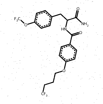 NC(=O)C(Cc1ccc(OC(F)(F)F)cc1)NC(=O)c1ccc(OCCCC(F)(F)F)cc1